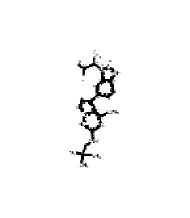 COc1nc(NCC(C)(C)C#N)nn2ccc(-c3ccc4nnn([C@H](C)C(F)F)c4c3)c12